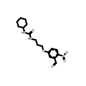 O=Cc1cc(OCCCNC(=O)NC2CCCCC2)ccc1[N+](=O)[O-]